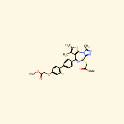 COC(=O)C[C@@H]1N=C(c2ccc(-c3ccc(OCC(=O)OC(C)(C)C)cc3F)cc2)c2c(sc(C)c2C)-n2c(C)nnc21